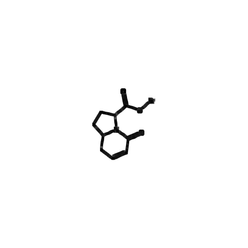 O=C(OBr)C1CCC2CC=CC(=O)N21